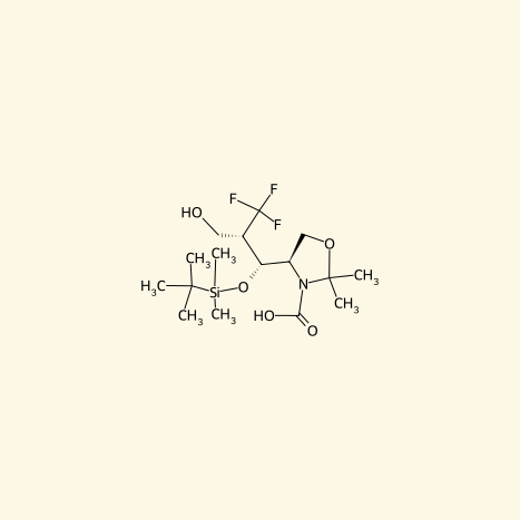 CC1(C)OC[C@H]([C@H](O[Si](C)(C)C(C)(C)C)[C@H](CO)C(F)(F)F)N1C(=O)O